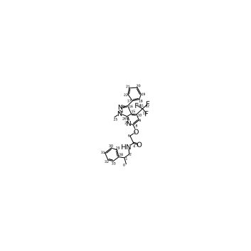 CC(CNC(=O)COc1cc(C(F)(F)F)c2c(-c3ccccc3)nn(C)c2n1)c1ccccc1